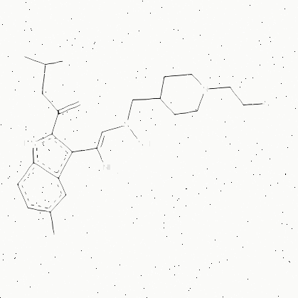 CC(C)CC(=O)c1[nH]c2ccc(F)cc2c1/C(N)=C/N(N)CC1CCN(CCN)CC1